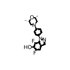 C[C@@H]1CN(c2ccc(-n3ncc4cc(F)c(O)c(F)c43)cc2)C[C@H](C)O1